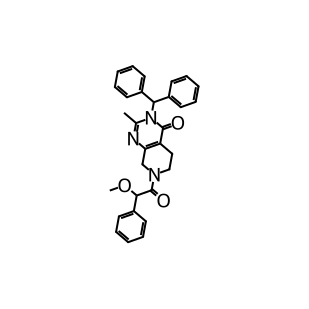 COC(C(=O)N1CCc2c(nc(C)n(C(c3ccccc3)c3ccccc3)c2=O)C1)c1ccccc1